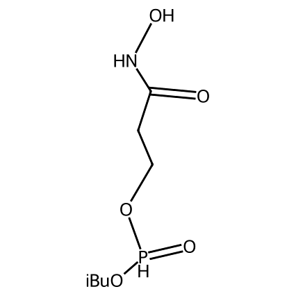 CC(C)CO[PH](=O)OCCC(=O)NO